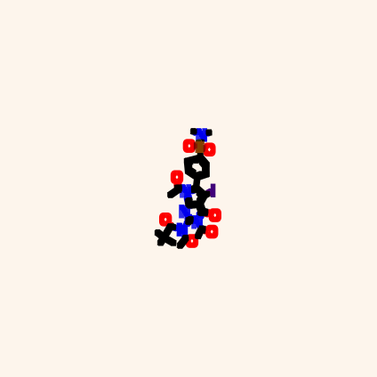 CC(=O)N(C(=O)C(C)(C)C)c1nc2c(c(I)c(-c3ccc(S(=O)(=O)N(C)C)cc3)n2C(C)=O)c(=O)n1C(C)=O